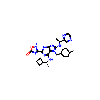 CC1CCC(Cn2c(NC(C)c3cnccn3)nc3nc(-c4nc(=O)o[nH]4)nc(N[C@H](C)C4CCC4)c32)CC1